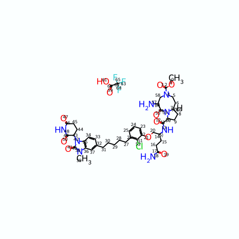 COC(=O)N1CC[C@H]2CC[C@@H](C(=O)N[C@@H](CCC(N)=O)COc3cccc(CCCCCc4ccc5c(c4)n(C)c(=O)n5C4CCC(=O)NC4=O)c3Cl)N2C(=O)[C@@H](N)C1.O=C(O)C(F)(F)F